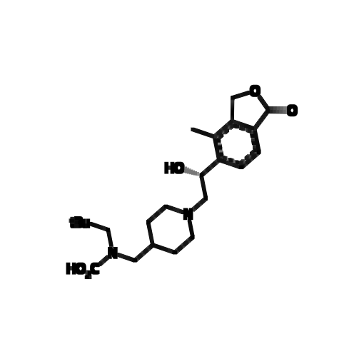 Cc1c([C@@H](O)CN2CCC(CN(CC(C)(C)C)C(=O)O)CC2)ccc2c1COC2=O